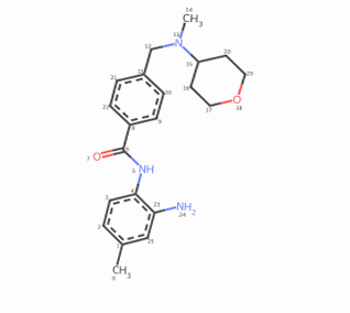 Cc1ccc(NC(=O)c2ccc(CN(C)C3CCOCC3)cc2)c(N)c1